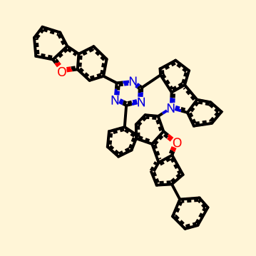 c1ccc(-c2ccc3c(c2)oc2c(-n4c5ccccc5c5cccc(-c6nc(-c7ccccc7)nc(-c7ccc8c(c7)oc7ccccc78)n6)c54)cccc23)cc1